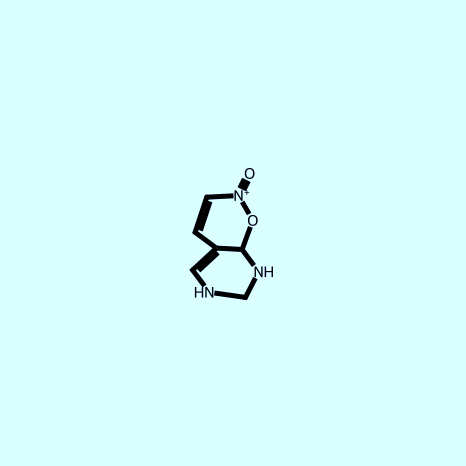 O=[N+]1C=CC2=CNCNC2O1